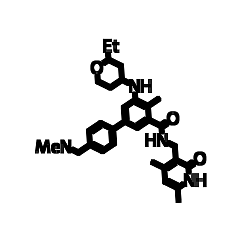 CCC1CC(Nc2cc(-c3ccc(CNC)cc3)cc(C(=O)NCc3c(C)cc(C)[nH]c3=O)c2C)CCO1